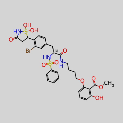 COC(=O)c1c(O)cccc1OCCCCNC(=O)[C@H](Cc1ccc(C2CC(=O)NS2(O)O)c(Br)c1)NS(=O)(=O)c1ccccc1